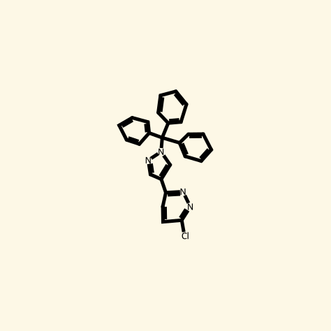 Clc1ccc(-c2cnn(C(c3ccccc3)(c3ccccc3)c3ccccc3)c2)nn1